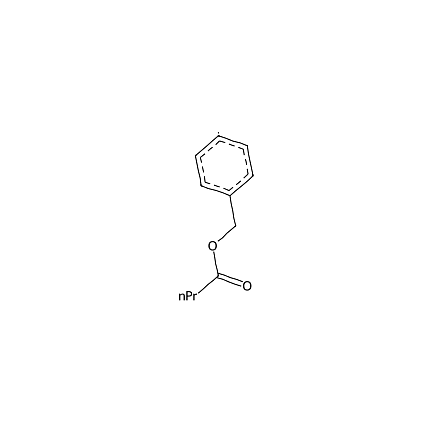 [CH2]CCC(=O)OCc1cc[c]cc1